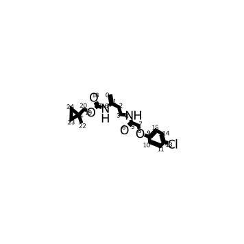 C=C(CCNC(=O)COc1ccc(Cl)cc1)NC(=O)OCC1(C)CC1